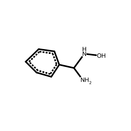 NC(NO)c1ccccc1